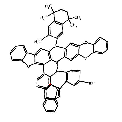 Cc1cc2c(cc1N1c3cc4c(cc3B3c5c1cc1c(oc6ccccc61)c5-c1ccc5c(oc6ccccc65)c1N3c1ccc(C(C)(C)C)cc1-c1ccccc1)Oc1ccccc1O4)C(C)(C)CCC2(C)C